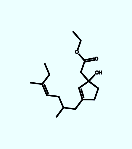 CCOC(=O)CC1(O)C=C(CC(C)CC=C(C)CC)CC1